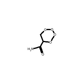 NC(=O)C1COOOO1